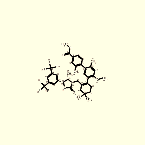 COC(=O)c1ccc(-c2cc(C3=C(CN4C(=O)O[C@H](c5cc(C(F)(F)F)cc(C(F)(F)F)c5)[C@@H]4C)CC(C)(C)CC3)c(OC)cc2C)c(C)c1